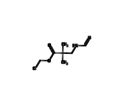 CC(C)(CNC=O)C(=O)OCCl